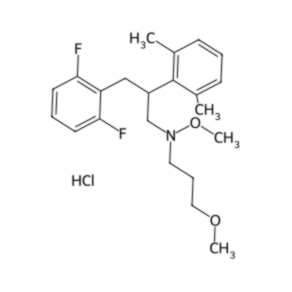 COCCCN(CC(Cc1c(F)cccc1F)c1c(C)cccc1C)OC.Cl